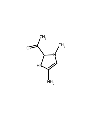 CC(=O)C1NC(N)=CN1C